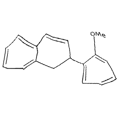 COc1ccccc1C1C=Cc2ccccc2C1